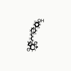 CN1CCC(=O)c2ccn(CCCCN3CCN(c4ccc(O)cc4)CC3)c2C1=O